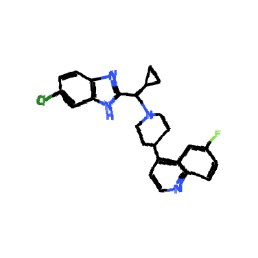 Fc1ccc2nccc(C3CCN(C(c4nc5ccc(Cl)cc5[nH]4)C4CC4)CC3)c2c1